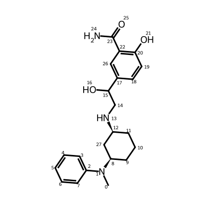 CN(c1ccccc1)[C@@H]1CCC[C@H](NCC(O)c2ccc(O)c(C(N)=O)c2)C1